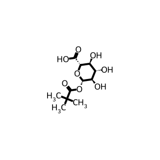 CC(C)(C)C(=O)O[C@@H]1O[C@H](C(=O)O)[C@@H](O)[C@H](O)[C@H]1O